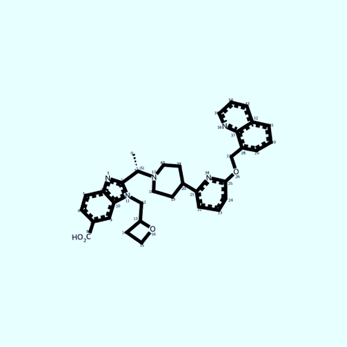 C[C@@H](c1nc2ccc(C(=O)O)cc2n1CC1CCO1)N1CCC(c2cccc(OCc3cccc4cccnc34)n2)CC1